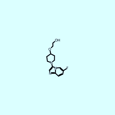 OCCOC1CCN(c2cnc3ccc(F)cn23)CC1